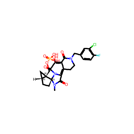 CN1C(=O)c2c3c(c(O)c(=O)n2[C@]12CC[C@@H]1C[C@@]12COP(=O)(O)O)C(=O)N(Cc1ccc(F)c(Cl)c1)CC3